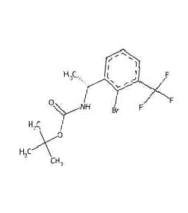 C[C@@H](NC(=O)OC(C)(C)C)c1cccc(C(F)(F)F)c1Br